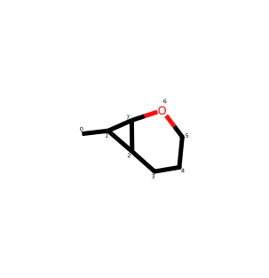 CC1C2CCCOC12